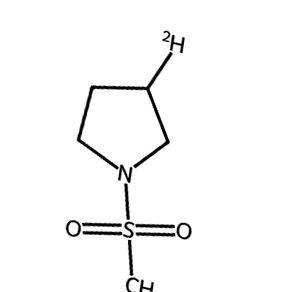 [2H]C1CCN(S(C)(=O)=O)C1